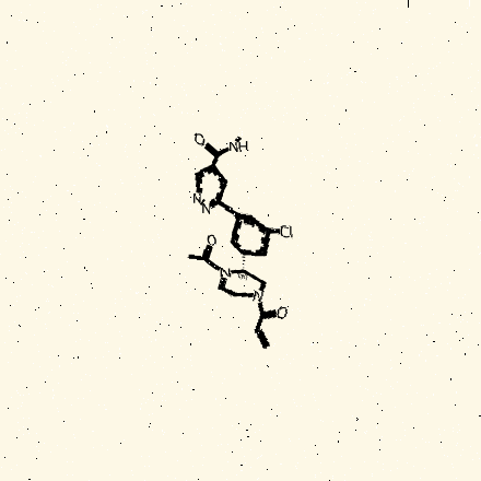 C=CC(=O)N1CCN(C(C)=O)[C@H](c2cc(Cl)cc(-c3cc(C(=O)NC)cnn3)c2)C1